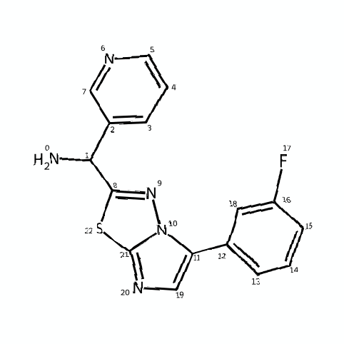 NC(c1cccnc1)c1nn2c(-c3cccc(F)c3)cnc2s1